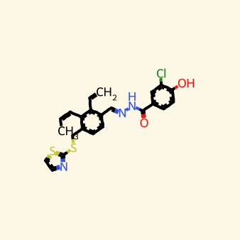 C=Cc1c(/C=N/NC(=O)c2ccc(O)c(Cl)c2)ccc(CSc2nccs2)c1/C=C\C